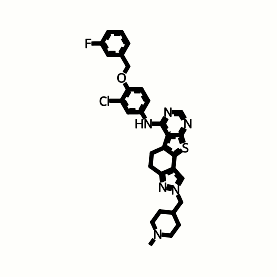 CN1CCC(Cn2cc3c(n2)CCc2c-3sc3ncnc(Nc4ccc(OCc5cccc(F)c5)c(Cl)c4)c23)CC1